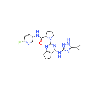 O=C(Nc1ccc(F)nc1)[C@H]1CCCN1c1nc2c(c(Nc3n[nH]c(C4CC4)n3)n1)CCC2